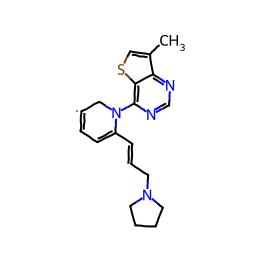 Cc1csc2c(N3C[C]=CC=C3C=CCN3CCCC3)ncnc12